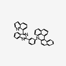 c1cc(-c2nc(-c3cccc4cccnc34)c3ccccc3n2)cc(N2c3ccc4ccccc4c3-c3cccc4cccc2c34)c1